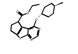 CCOC(=O)C1CCc2sc3ncnc(O[C@H]4CC[C@H](C)CC4)c3c21